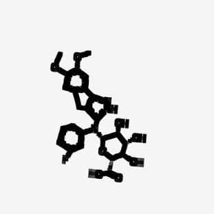 COc1cc2c(cc1OC)-c1n[nH]c(N(c3cccc(F)c3)[C@H]3O[C@@H](C(=O)O)[C@H](O)[C@@H](O)[C@@H]3O)c1C2